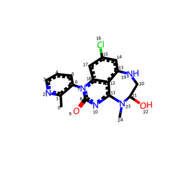 Cc1ncccc1-n1c(=O)nc2c3c(cc(Cl)cc31)NCC(O)N2C